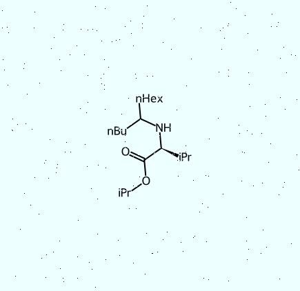 CCCCCCC(CCCC)N[C@H](C(=O)OC(C)C)C(C)C